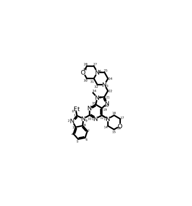 CCc1nc2ccccc2n1-c1nc(N2CCOCC2)c2nc(CN3CCN4CCOCC4C3)n(C)c2n1